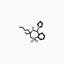 CCCCC1(CC)CS(=O)(=O)c2ccccc2C(n2cccc2)N1